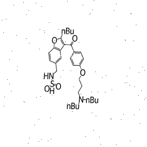 CCCCc1oc2ccc(CN[SH](=O)=O)cc2c1C(=O)c1ccc(OCCCN(CCCC)CCCC)cc1